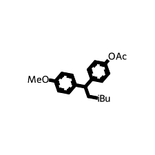 CCC(C)CC(c1ccc(OC)cc1)c1ccc(OC(C)=O)cc1